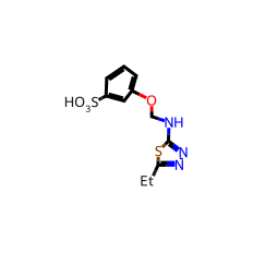 CCc1nnc(NCOc2cccc(S(=O)(=O)O)c2)s1